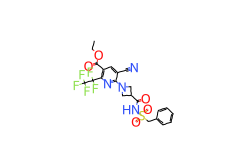 CCOC(=O)c1cc(C#N)c(N2CC(C(=O)NS(=O)(=O)Cc3ccccc3)C2)nc1C(F)(F)C(F)(F)F